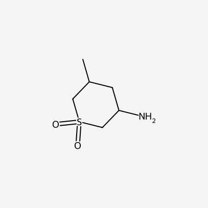 CC1CC(N)CS(=O)(=O)C1